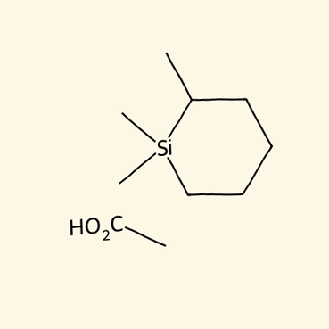 CC(=O)O.CC1CCCC[Si]1(C)C